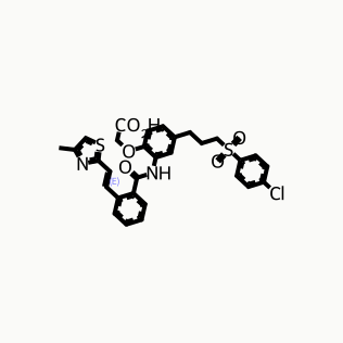 Cc1csc(/C=C/c2ccccc2C(=O)Nc2cc(CCCS(=O)(=O)c3ccc(Cl)cc3)ccc2OCC(=O)O)n1